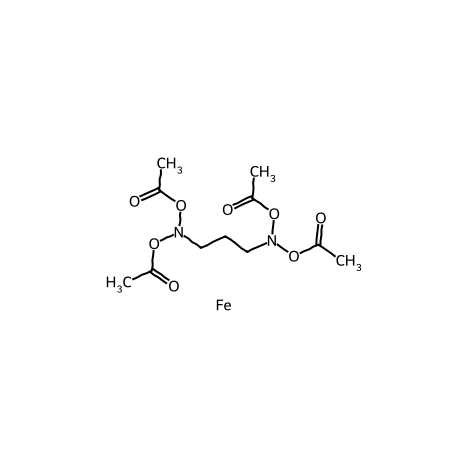 CC(=O)ON(CCCN(OC(C)=O)OC(C)=O)OC(C)=O.[Fe]